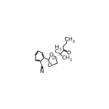 CCCC(=O)C(C)(C)[C@@H]1CCOC(c2ccccc2C#N)O1